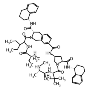 CCC(CC)[C@H](NC(=O)[C@H](CC)NC)C(=O)N1Cc2cc(C(=O)N[C@H]3C[C@@H](C(=O)N[C@@H]4CCCc5ccccc54)N(C(=O)[C@@H](NC(=O)[C@H](C)NC)C(C)(C)C)C3)ccc2C[C@H]1C(=O)N[C@@H]1CCCc2ccccc21